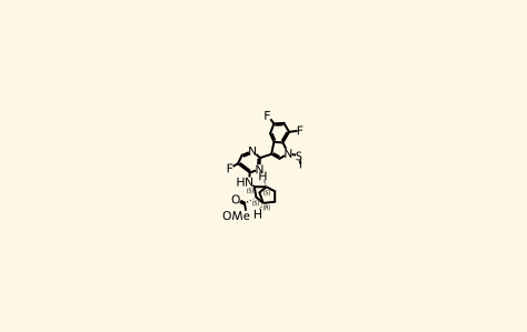 COC(=O)[C@H]1[C@@H]2CC[C@@H](C2)[C@@H]1Nc1nc(-c2cn(SI)c3c(F)cc(F)cc23)ncc1F